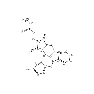 COC(=O)CCN1C(=O)C2Cc3c(n(Cc4ccc(F)cc4)c4ccccc34)CN2C1=O